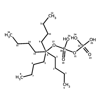 CCCCP(CCCC)(CCCC)(CCCC)OP(=O)(O)OP(=O)(O)O